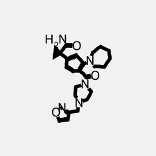 NC(=O)C1(c2ccc(C(=O)N3CCN(Cc4ccon4)CC3)c(N3CCCCCC3)c2)CC1